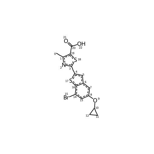 Cc1nc(-c2cc3cc(OC4CC4)cc(Br)c3s2)sc1C(=O)O